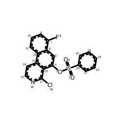 O=S(=O)(Oc1cc2c(F)cccc2c2ccnc(Cl)c12)c1ccccc1